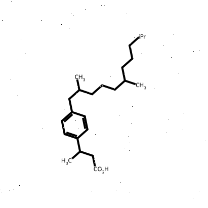 CC(C)CCCC(C)CCCC(C)Cc1ccc(C(C)CC(=O)O)cc1